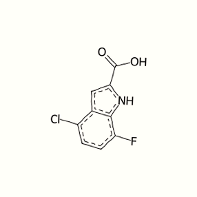 O=C(O)c1cc2c(Cl)ccc(F)c2[nH]1